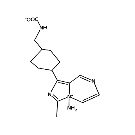 N[N+]12C=CN=CC1=C(C1CCC(CNC(=O)[O-])CC1)N=C2I